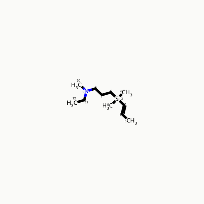 CC=C[Si](C)(C)CCCN(C)CC